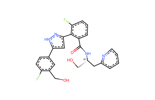 O=C(N[C@@H](CO)Cc1ccccn1)c1cccc(F)c1-c1cc(-c2ccc(F)c(CO)c2)[nH]n1